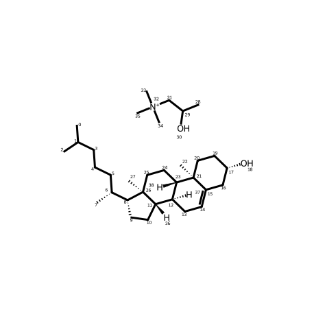 CC(C)CCC[C@@H](C)[C@H]1CC[C@H]2[C@@H]3CC=C4C[C@@H](O)CC[C@]4(C)[C@H]3CC[C@]12C.CC(O)C[N+](C)(C)C